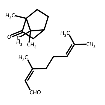 CC(C)=CCCC(C)=CC=O.CC12CCC(CC1=O)C2(C)C